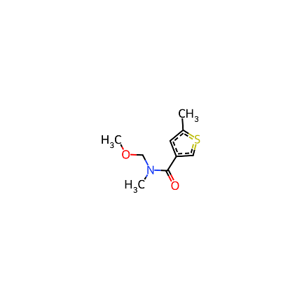 COCN(C)C(=O)c1csc(C)c1